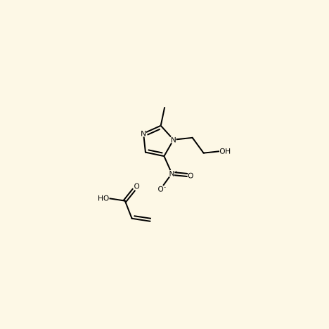 C=CC(=O)O.Cc1ncc([N+](=O)[O-])n1CCO